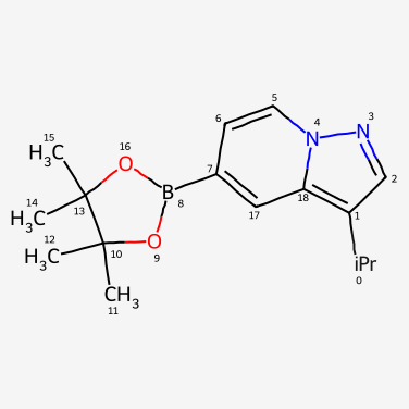 CC(C)c1cnn2ccc(B3OC(C)(C)C(C)(C)O3)cc12